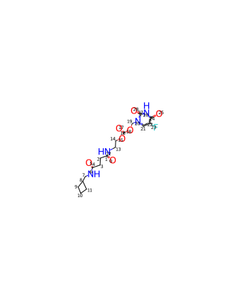 O=C(CCC(=O)NCC1CCC1)NCCOC(=O)OCn1cc(F)c(=O)[nH]c1=O